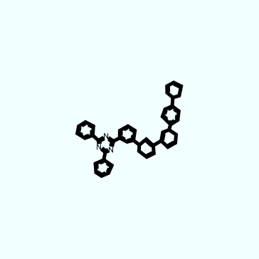 C1=CCC(c2ccc(C3C=C(C4=CC(c5cccc(-c6nc(-c7ccccc7)nc(-c7ccccc7)n6)c5)CC=C4)C=CC3)cc2)C=C1